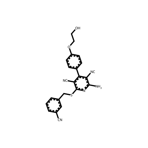 [C-]#[N+]c1c(N)nc(SCc2cccc(C#N)c2)c(C#N)c1-c1ccc(OCCO)cc1